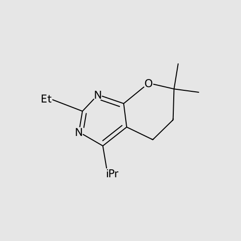 CCc1nc2c(c(C(C)C)n1)CCC(C)(C)O2